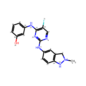 CN1Cc2cc(Nc3ncc(F)c(Nc4cccc(O)c4)n3)ccc2N1